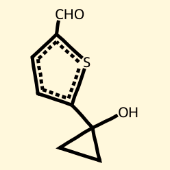 O=Cc1ccc(C2(O)CC2)s1